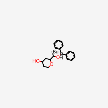 CC(C)(C)C(O[SiH](c1ccccc1)c1ccccc1)C1CC(O)CCO1